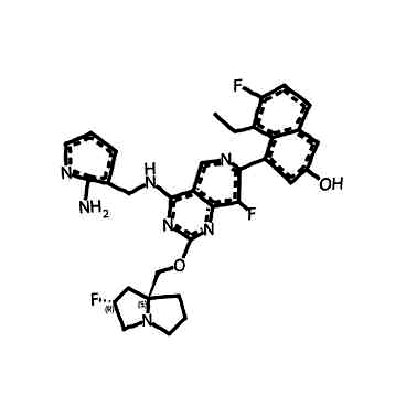 CCc1c(F)ccc2cc(O)cc(-c3ncc4c(NCc5cccnc5N)nc(OC[C@@]56CCCN5C[C@H](F)C6)nc4c3F)c12